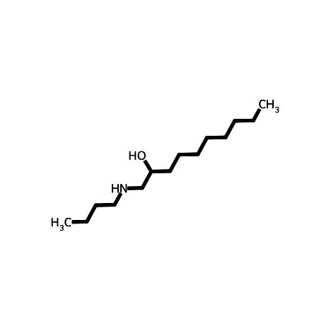 CCCCCCCCC(O)CNCCCC